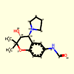 CC1(C)Oc2ccc(NC=O)cc2[C@H](N2CCCC2)[C@H]1O